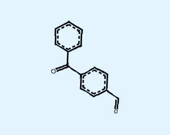 O=Cc1ccc(C(=O)c2ccccc2)cc1